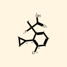 CC(F)(C(=O)O)c1cccc(Cl)c1C1CC1